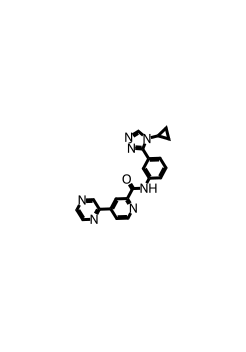 O=C(Nc1cccc(-c2nncn2C2CC2)c1)c1cc(-c2cnccn2)ccn1